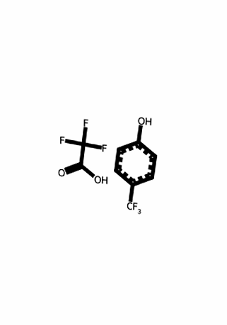 O=C(O)C(F)(F)F.Oc1ccc(C(F)(F)F)cc1